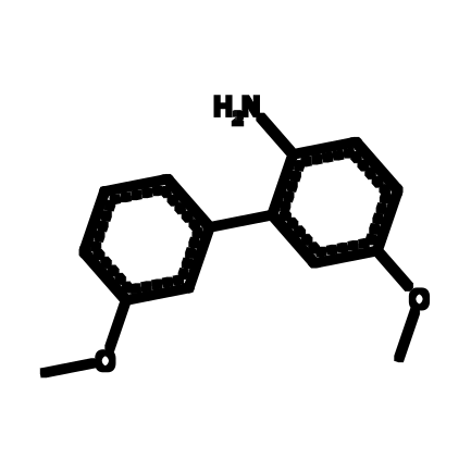 COc1cccc(-c2cc(OC)ccc2N)c1